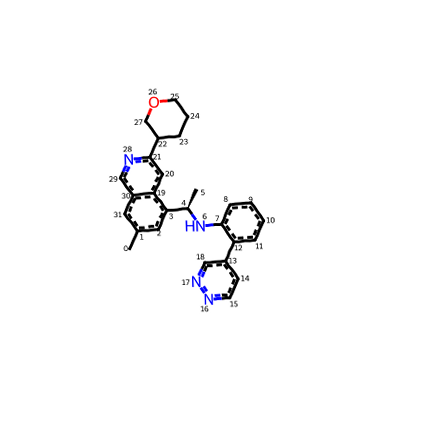 Cc1cc([C@@H](C)Nc2ccccc2-c2ccnnc2)c2cc(C3CCCOC3)ncc2c1